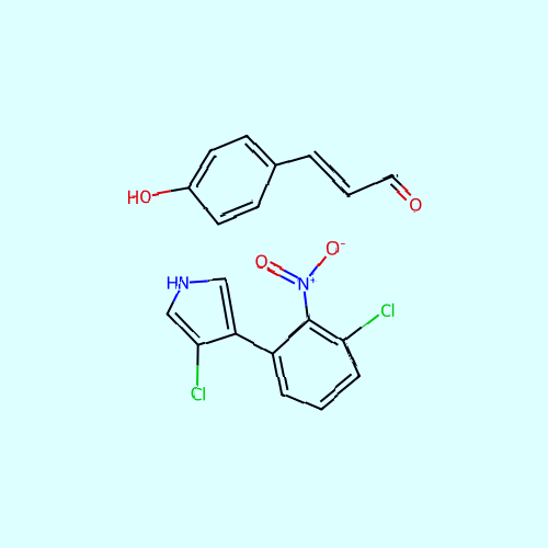 O=[C]/C=C/c1ccc(O)cc1.O=[N+]([O-])c1c(Cl)cccc1-c1c[nH]cc1Cl